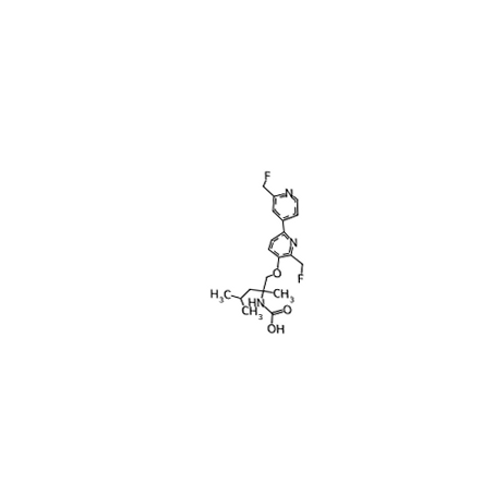 CC(C)CC(C)(COc1ccc(-c2ccnc(CF)c2)nc1CF)NC(=O)O